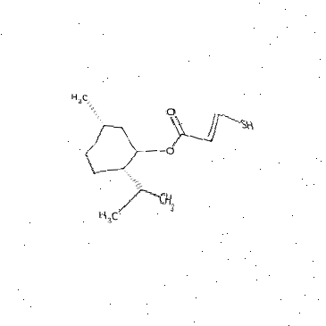 CC(C)[C@@H]1CC[C@H](C)CC1OC(=O)C=CS